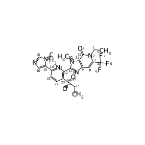 CCn1c(C(F)(F)F)cc2nc(-c3nc(-c4cncn4C)ccc3S(=O)(=O)CC)n(C)c2c1=O